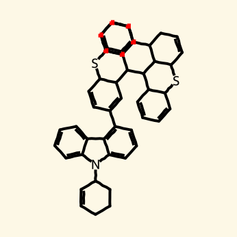 C1=CC2SC3C=CCC(C4C=CCCC4)C3C(C3C4=CCCC=C4SC4C=CC(c5cccc6c5c5ccccc5n6C5C=CCCC5)=CC43)C2C=C1